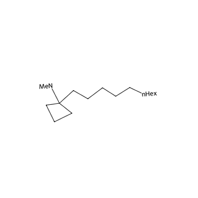 CCCCCCCCCCCC1(NC)CCC1